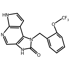 O=c1[nH]c2cnc3[nH]ccc3c2n1Cc1ccccc1OC(F)(F)F